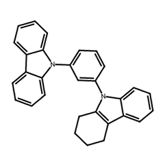 c1cc(-n2c3c(c4ccccc42)CCCC3)cc(-n2c3ccccc3c3ccccc32)c1